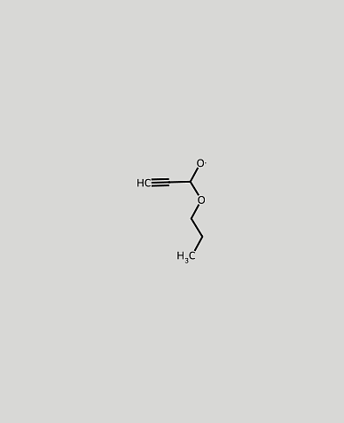 C#CC([O])OCCC